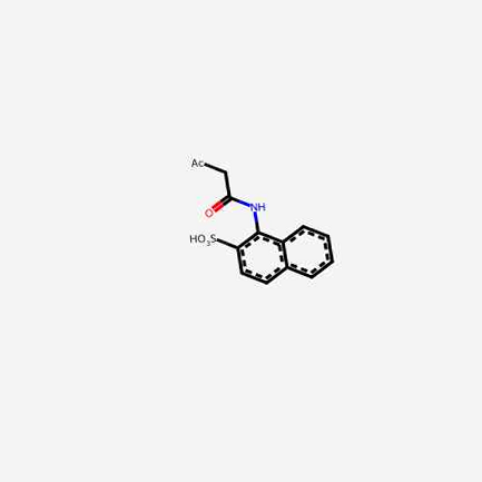 CC(=O)CC(=O)Nc1c(S(=O)(=O)O)ccc2ccccc12